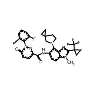 Cn1c(C2(C(F)(F)F)CC2)nc2c(N3CCC4(CC4)C3)c(NC(=O)c3ccc(=O)n(-c4c(F)cccc4F)n3)ccc21